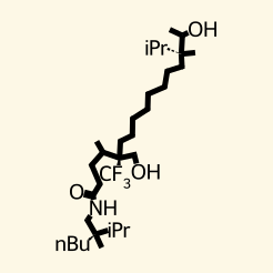 CCCC[C@](C)(CNC(=O)CCC(C)[C@@](CO)(CCCCCCCC[C@@](C)(C(C)C)C(C)O)C(F)(F)F)C(C)C